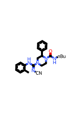 CCCCNC(=O)N1CCN(/C(=N\C#N)Nc2ccccc2C)CC1c1ccccc1